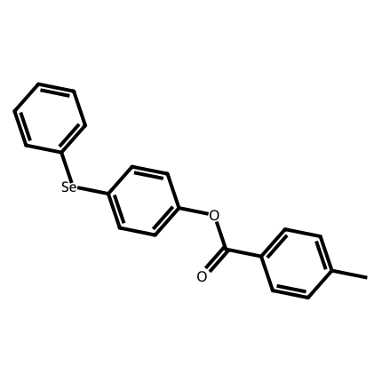 Cc1ccc(C(=O)Oc2ccc([Se]c3ccccc3)cc2)cc1